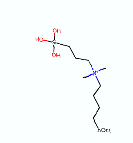 CCCCCCCCCCCC[N+](C)(C)CCC[Si](O)(O)O